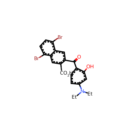 CCN(CC)c1ccc(C(=O)c2cc3c(Br)ccc(Br)c3cc2C(=O)O)c(O)c1